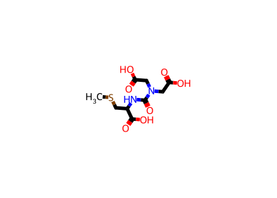 CSCC(NC(=O)N(CC(=O)O)CC(=O)O)C(=O)O